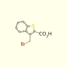 O=C(O)c1sc2ccccc2c1CBr